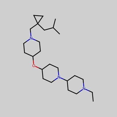 CCN1CCC(N2CCC(OC3CCN(CC4(CC(C)C)CC4)CC3)CC2)CC1